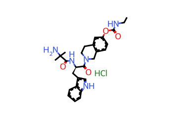 CCNC(=O)Oc1ccc2c(c1)CCN(C(=O)[C@@H](Cc1c[nH]c3ccccc13)NC(=O)C(C)(C)N)C2.Cl